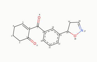 O=C1CCCC=C1C(=O)c1cccc(C2CC=NO2)c1